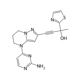 CC(O)(C#Cc1cc2n(n1)CCCN2c1ccnc(N)n1)c1nccs1